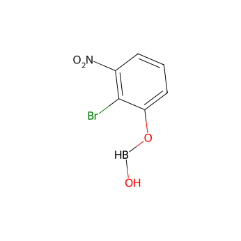 O=[N+]([O-])c1cccc(OBO)c1Br